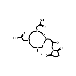 CN1CCN(CC(=O)O)CCN(CC(=O)O)CCN(CC(=O)ON2C(=O)CCC2=O)CC1